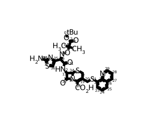 CC(C)(C)OC(=O)C(C)(C)O/N=C(\C(=O)NC1C(=O)N2C(C(=O)O)=C(CSc3cccc4cccnc34)CSC12)c1csc(N)n1